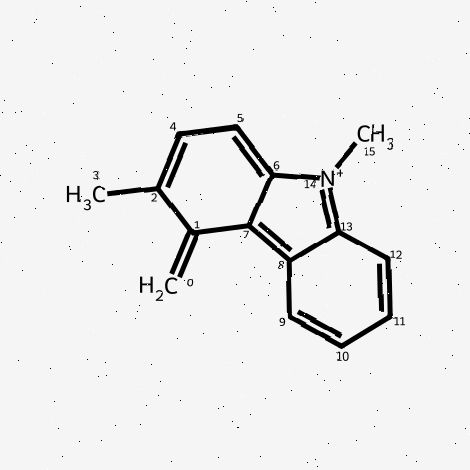 C=c1c(C)ccc2c1=c1ccccc1=[N+]2C